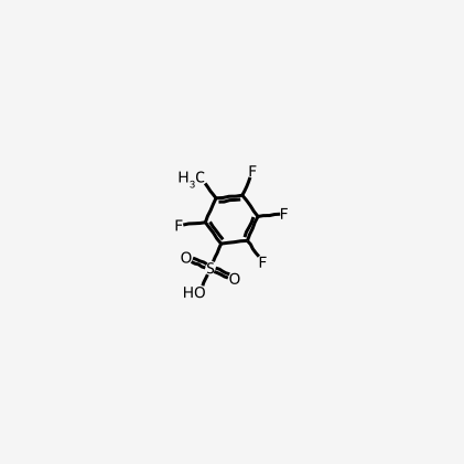 Cc1c(F)c(F)c(F)c(S(=O)(=O)O)c1F